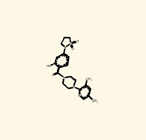 Cc1cnc(N2CCN(C(=O)c3ccc(N4CCCS4(=O)=O)cc3O)CC2)c(C)c1